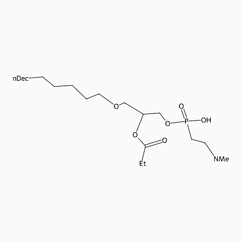 CCCCCCCCCCCCCCCOCC(COP(=O)(O)CCNC)OC(=O)CC